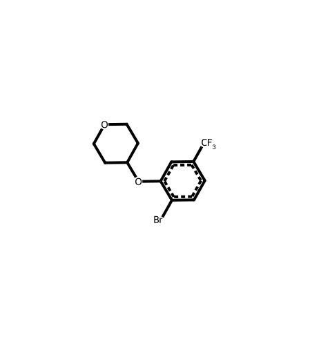 FC(F)(F)c1ccc(Br)c(OC2CCOCC2)c1